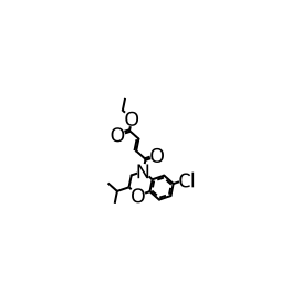 CCOC(=O)/C=C/C(=O)N1CC(C(C)C)Oc2ccc(Cl)cc21